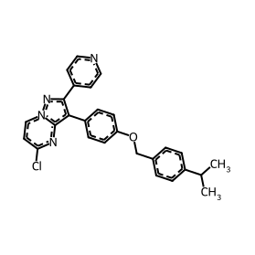 CC(C)c1ccc(COc2ccc(-c3c(-c4ccncc4)nn4ccc(Cl)nc34)cc2)cc1